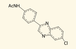 CC(=O)Nc1ccc(-c2cnc3cc(Cl)ccc3n2)cc1